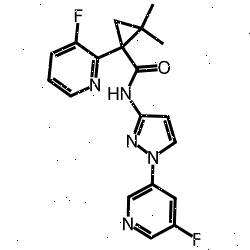 CC1(C)CC1(C(=O)Nc1ccn(-c2cncc(F)c2)n1)c1ncccc1F